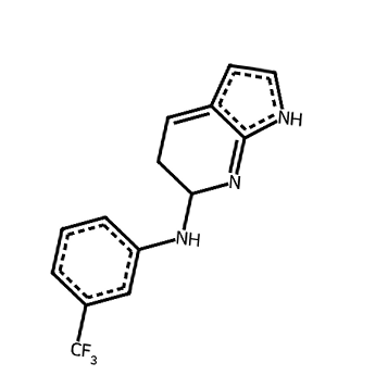 FC(F)(F)c1cccc(NC2CC=c3cc[nH]c3=N2)c1